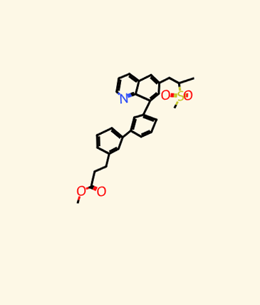 COC(=O)CCc1cccc(-c2cccc(-c3cc(CC(C)S(C)(=O)=O)cc4cccnc34)c2)c1